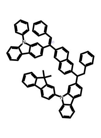 CC1(C)c2ccccc2-c2ccc(-n3c4ccccc4c4ccc(C(Cc5ccccc5)c5ccc6cc(/C(=C/c7ccccc7)c7ccc8c9ccccc9n(-c9ccccc9)c8c7)ccc6c5)cc43)cc21